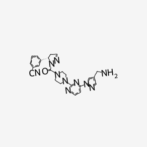 N#Cc1cccc([C@@H]2CC=NN2C(=O)N2CCN(c3nccc(-n4cc(CN)cn4)n3)CC2)c1